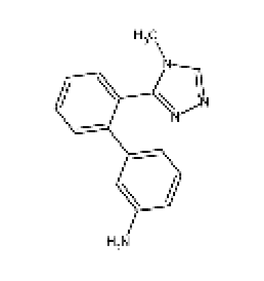 Cn1cnnc1-c1ccccc1-c1cccc(N)c1